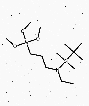 CCN(CCC[Si](OC)(OC)OC)[Si](C)(C)C(C)(C)C